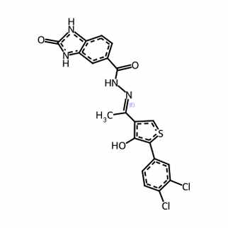 C/C(=N\NC(=O)c1ccc2[nH]c(=O)[nH]c2c1)c1csc(-c2ccc(Cl)c(Cl)c2)c1O